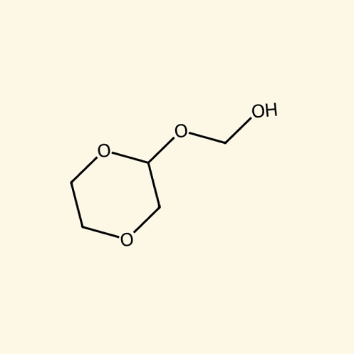 OCOC1COCCO1